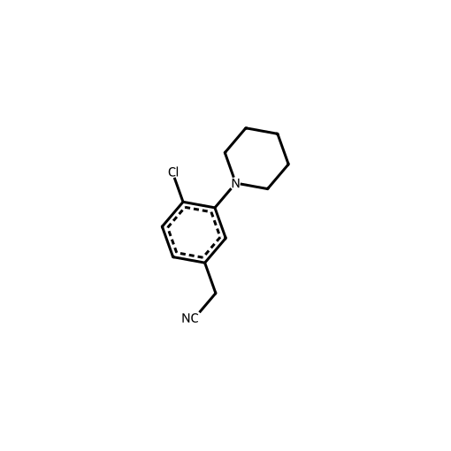 N#CCc1ccc(Cl)c(N2CCCCC2)c1